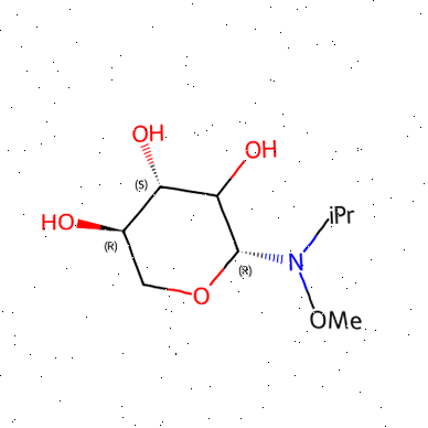 CON(C(C)C)[C@@H]1OC[C@@H](O)[C@H](O)C1O